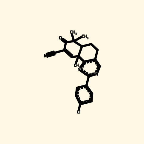 CC1(C)C(=O)C(C#N)=CC2(C)c3nc(-c4ccc(Cl)cc4)ncc3CCC12